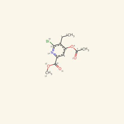 CCc1c(OC(C)=O)cc(C(=O)OC)nc1Br